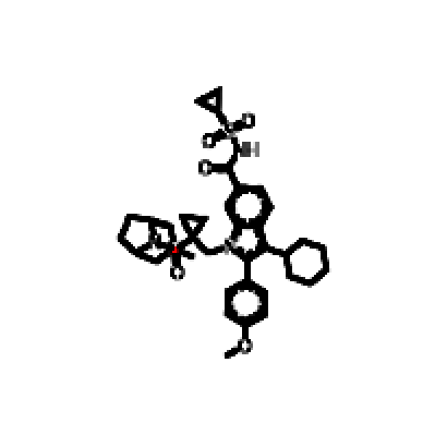 COc1ccc(-c2c(C3CCCCC3)c3ccc(C(=O)NS(=O)(=O)C4CC4)cc3n2CC2(C(=O)N3C4CCC3CN(C)C4)CC2)cc1